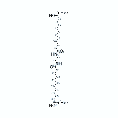 CCCCCCC(C#N)CCCCCCCCCCC(=O)NCCNC(=O)CCCCCCCCCCC(C#N)CCCCCC